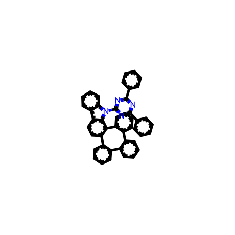 c1ccc(-c2nc(-c3ccccc3)nc(-n3c4ccccc4c4ccc5c(c43)-c3ccccc3-c3ccccc3-c3ccccc3-5)n2)cc1